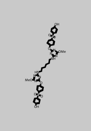 COc1nc(NCCCCCCNc2nc(OC)nc(Oc3ccc(S(=O)(=O)c4ccc(O)cc4)cc3)n2)nc(Oc2ccc(S(=O)(=O)c3ccc(O)cc3)cc2)n1